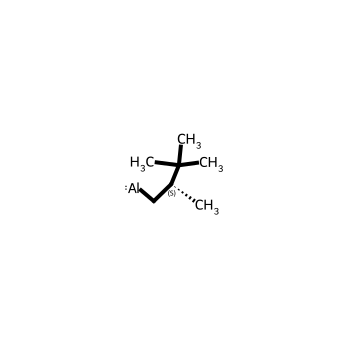 C[C@H]([CH2][Al])C(C)(C)C